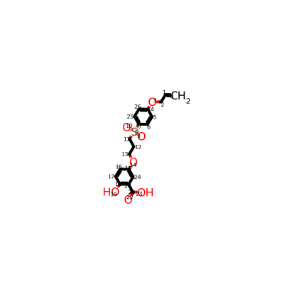 C=CCOc1ccc(S(=O)(=O)CCCOc2ccc(O)c(C(=O)O)c2)cc1